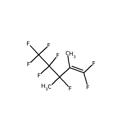 CC(=C(F)F)C(C)(F)C(F)(F)C(F)(F)F